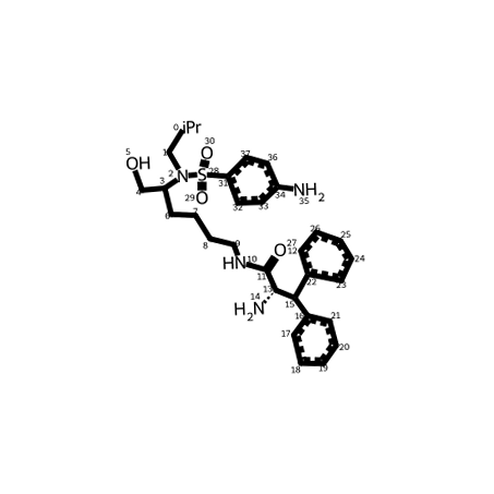 CC(C)CN(C(CO)CCCCNC(=O)[C@@H](N)C(c1ccccc1)c1ccccc1)S(=O)(=O)c1ccc(N)cc1